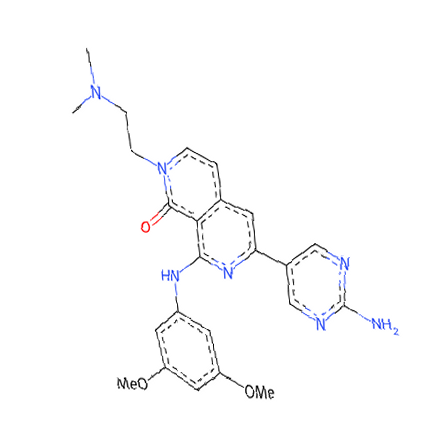 COc1cc(Nc2nc(-c3cnc(N)nc3)cc3ccn(CCN(C)C)c(=O)c23)cc(OC)c1